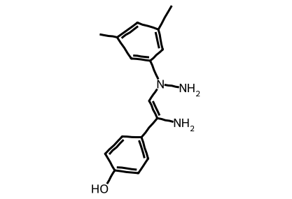 Cc1cc(C)cc(N(N)/C=C(\N)c2ccc(O)cc2)c1